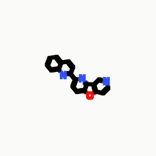 c1ccc2nc(-c3ccc4oc5ccncc5c4n3)ccc2c1